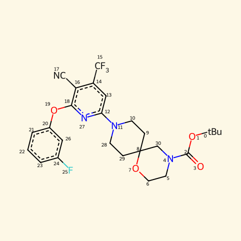 CC(C)(C)OC(=O)N1CCOC2(CCN(c3cc(C(F)(F)F)c(C#N)c(Oc4cccc(F)c4)n3)CC2)C1